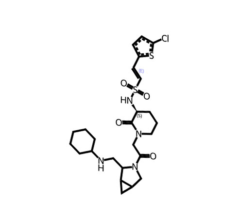 O=C1[C@@H](NS(=O)(=O)/C=C/c2ccc(Cl)s2)CCCN1CC(=O)N1CC2CC2C1CNC1CCCCC1